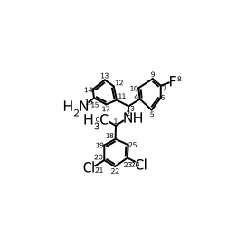 CC(NC(c1ccc(F)cc1)c1cccc(N)c1)c1cc(Cl)cc(Cl)c1